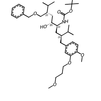 COCCCOc1cc(C[C@@H](C[C@H](NC(=O)OC(C)(C)C)[C@H](O)C[C@H](COCc2ccccc2)C(C)C)C(C)C)ccc1OC